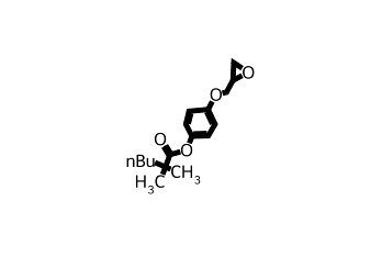 CCCCC(C)(C)C(=O)Oc1ccc(OCC2CO2)cc1